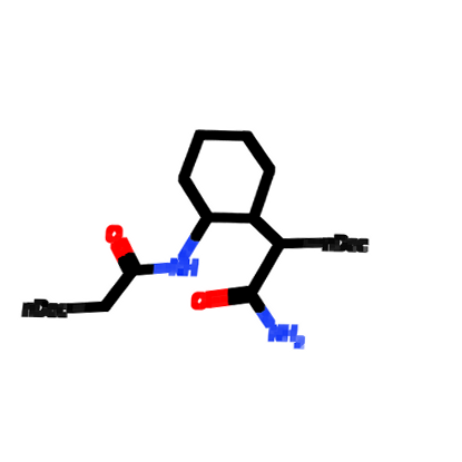 CCCCCCCCCCCC(=O)NC1CCCCC1C(CCCCCCCCCC)C(N)=O